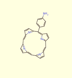 Nc1ccc(C2=C3C=CC(=N3)C=C3C=CC(=N3)C=C3C=CC(=N3)C=C3C=CC2=N3)cc1